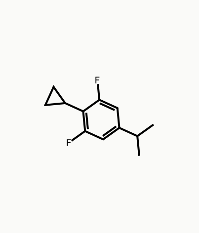 CC(C)c1cc(F)c(C2CC2)c(F)c1